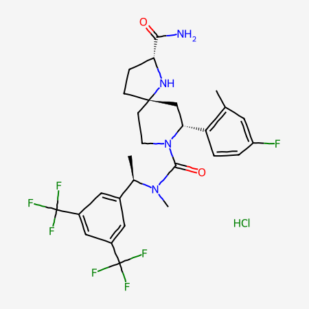 Cc1cc(F)ccc1[C@H]1C[C@]2(CC[C@H](C(N)=O)N2)CCN1C(=O)N(C)[C@H](C)c1cc(C(F)(F)F)cc(C(F)(F)F)c1.Cl